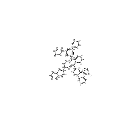 CC1(C)c2ccccc2-c2ccc(-c3c4ccccc4c(-c4nc(-c5ccccc5)nc(-c5ccccc5)n4)c4ccc(-c5ccc6ccccc6c5)cc34)cc21